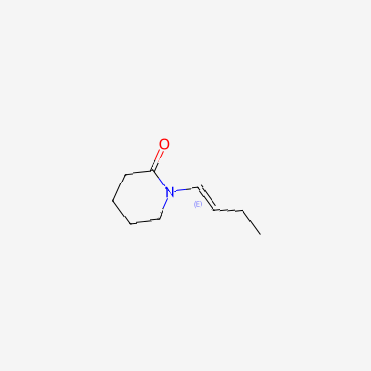 CC/C=C/N1CCCCC1=O